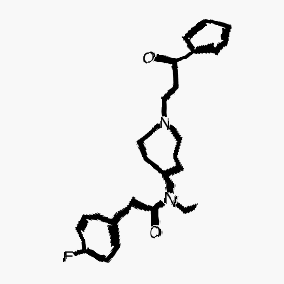 CN(C(=O)Cc1ccc(F)cc1)C1CCN(CCC(=O)c2ccccc2)CC1